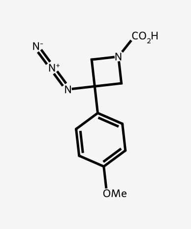 COc1ccc(C2(N=[N+]=[N-])CN(C(=O)O)C2)cc1